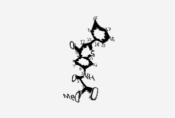 COC(=O)C(=O)Nc1ccc2c(=O)cc(-c3ccccc3)sc2c1